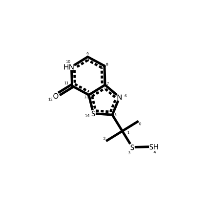 CC(C)(SS)c1nc2cc[nH]c(=O)c2s1